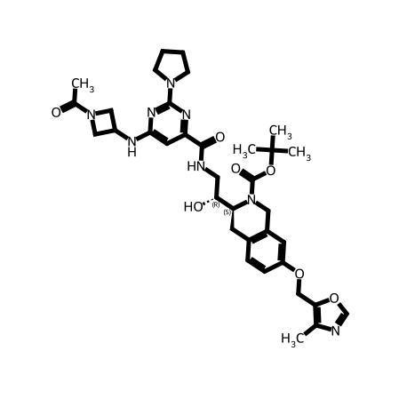 CC(=O)N1CC(Nc2cc(C(=O)NC[C@@H](O)[C@@H]3Cc4ccc(OCc5ocnc5C)cc4CN3C(=O)OC(C)(C)C)nc(N3CCCC3)n2)C1